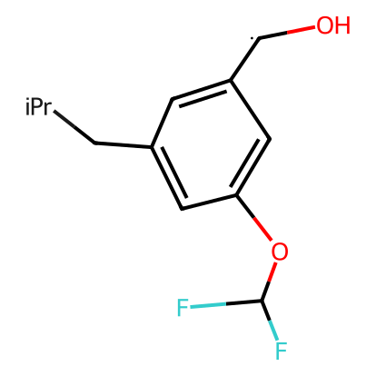 CC(C)Cc1cc([CH]O)cc(OC(F)F)c1